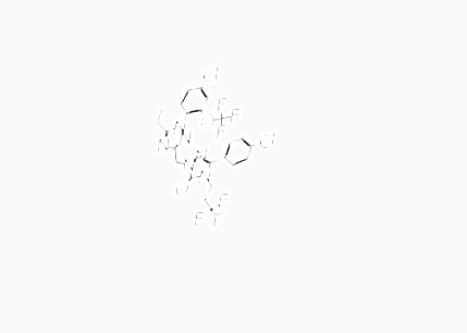 CCc1nc(Cn2nc(-c3ccc(Cl)cc3)n(CCC(F)(F)F)c2=O)nn1-c1ccc(Cl)cc1OC(F)(F)F